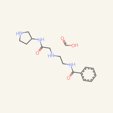 O=C(CNCCNC(=O)c1ccccc1)NC1CCNC1.O=CO